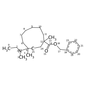 CCN(C)C1(C)CCCCCCC(C)(C(=O)OCc2ccccc2)CC1